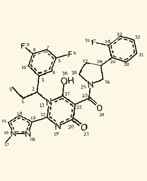 CCC(c1cc(F)cc(F)c1)n1c(-c2ccn(C)n2)nc(=O)c(C(=O)N2CCC(c3ccccc3F)C2)c1O